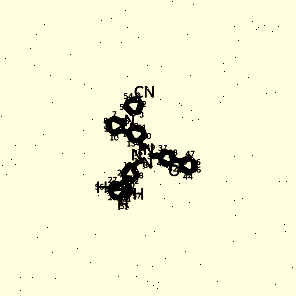 N#Cc1ccc(-n2c3ccccc3c3cc(-c4nc(-c5ccc(C67C[C@H]8C[C@@H](C6)C[C@@H](C7)C8)cc5)nc(-c5ccc6c(c5)oc5ccccc56)n4)ccc32)cc1